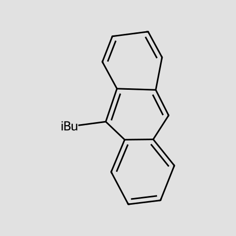 CCC(C)c1c2ccccc2cc2ccccc12